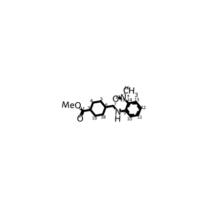 COC(=O)C1CCC(CNc2ccccc2[N+](C)=O)CC1